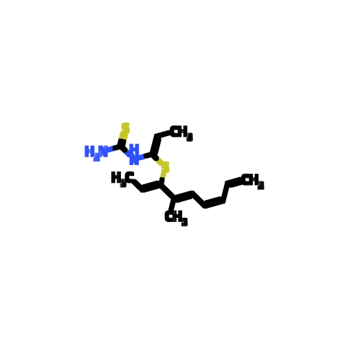 C=C\C=C/C=C(C)/C(=C/C)S/C(=C\C)NC(N)=S